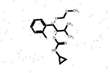 COCO[C@@H](c1ccccc1I)[C@@H](OC(=O)NC1CC1)C(C)C